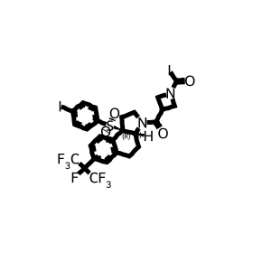 O=C(I)N1CC(C(=O)N2CC[C@@]3(S(=O)(=O)c4ccc(I)cc4)c4ccc(C(F)(C(F)(F)F)C(F)(F)F)cc4CC[C@@H]23)C1